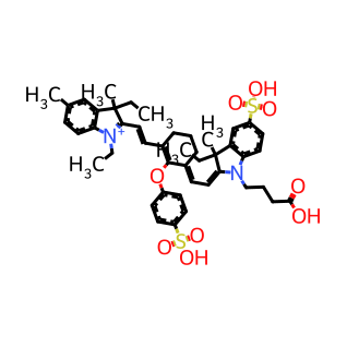 CC[N+]1=C(/C=C/C2=C(Oc3ccc(S(=O)(=O)O)cc3)C(=C/C=C3/N(CCCC(=O)O)c4ccc(S(=O)(=O)O)cc4C3(C)CC)/CCC2)C(C)(CC)c2cc(C)ccc21